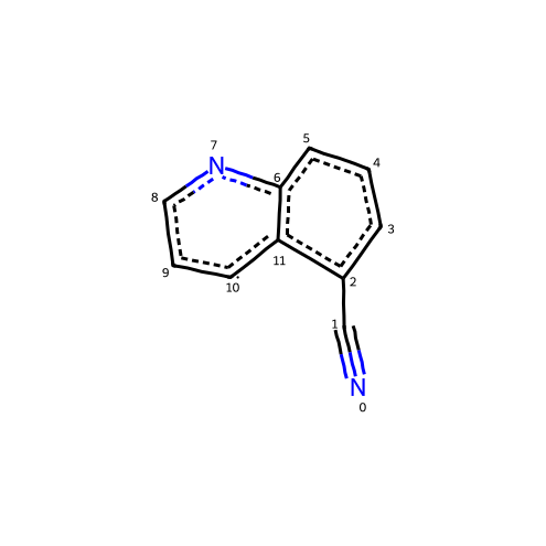 N#Cc1cccc2ncc[c]c12